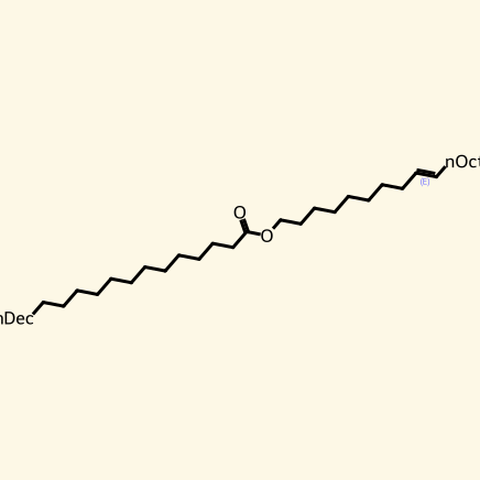 CCCCCCCC/C=C/CCCCCCCCOC(=O)CCCCCCCCCCCCCCCCCCCCCC